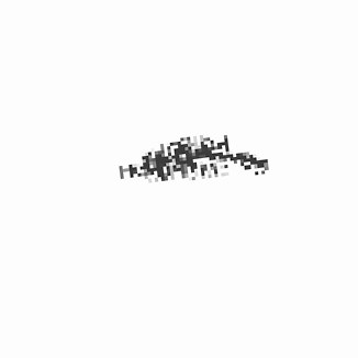 COCC1O[C@H](OCC2OC(C)[C@H](O)C(O)[C@@H]2O)C(O)C(O)[C@@H]1OCC(O)COCCCCOCC1CO1